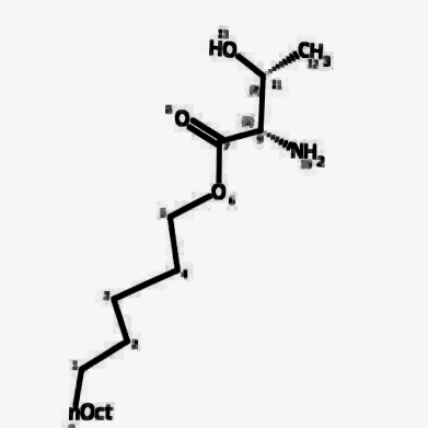 CCCCCCCCCCCCCOC(=O)[C@@H](N)[C@@H](C)O